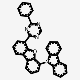 c1ccc(-c2ncnc(-c3cccc4c3oc3c(-n5c6ccccc6c6ccccc65)cccc34)n2)cc1